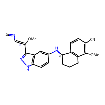 C=N/C=C(\OC)c1n[nH]c2ccc(N[C@@H]3CCCc4c3ccc(C#N)c4OC)cc12